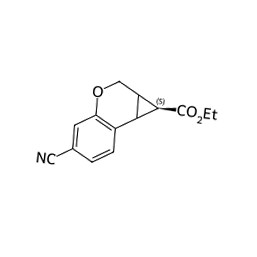 CCOC(=O)[C@@H]1C2COc3cc(C#N)ccc3C21